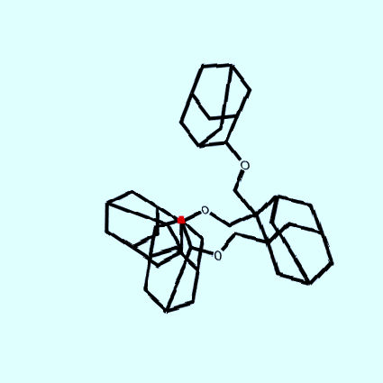 C1C2CC3CC1CC(C2)C3OCC12CC3CC(CC(C3)C1(COC1C3CC4CC(C3)CC1C4)COC1C3CC4CC(C3)CC1C4)C2